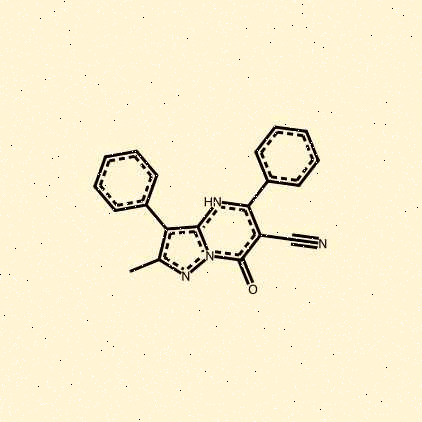 Cc1nn2c(=O)c(C#N)c(-c3ccccc3)[nH]c2c1-c1ccccc1